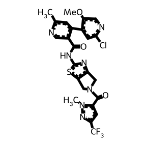 COc1cnc(Cl)cc1-c1cc(C)ncc1C(=O)Nc1nc2c(s1)CN(C(=O)c1cc(C(F)(F)F)nn1C)C2